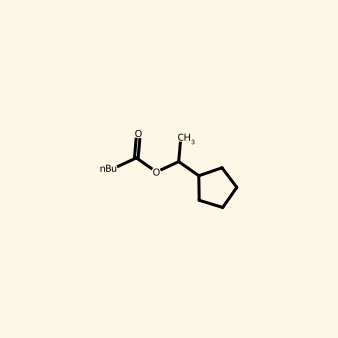 CCCCC(=O)OC(C)C1CCCC1